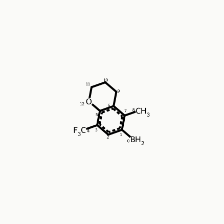 Bc1cc(C(F)(F)F)c2c(c1C)CCCO2